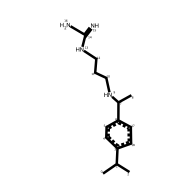 CC(C)c1ccc(C(C)NCCCNC(=N)N)cc1